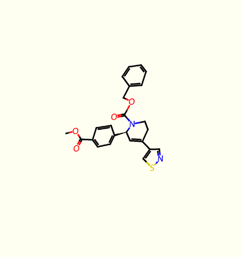 COC(=O)c1ccc([C@@H]2C=C(c3cnsc3)CCN2C(=O)OCc2ccccc2)cc1